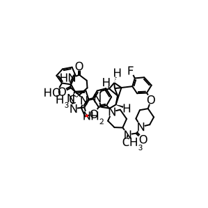 CN(C(=O)N1CCC(Oc2ccc(F)c(C3C4[C@H]5CCN(c6cc(-c7ccccc7O)nnc6N)C[C@H]4[C@H]3C5)c2)CC1)C1CCN(c2cccc3c2OCCN3[C@]2(C)CCC(=O)NC2=O)CC1